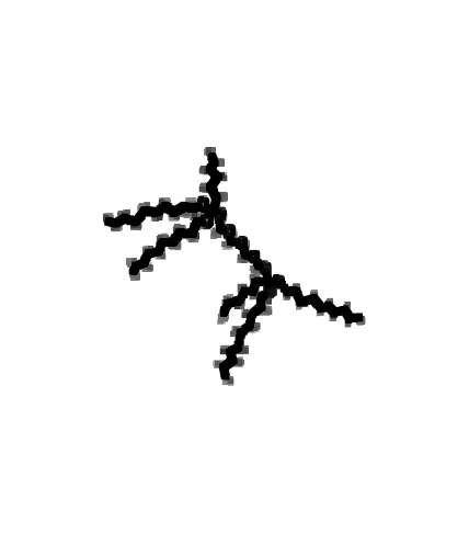 CCCCCCCCCCOC(CCCCCC)(OCCCCCCCCCC)OCOCOCOCOC(CCCCCC)(OCCCCCCCCCC)OCCCCCCCCCC